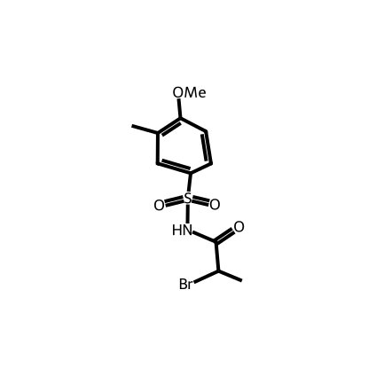 COc1ccc(S(=O)(=O)NC(=O)C(C)Br)cc1C